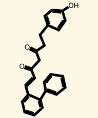 O=C(C=Cc1ccccc1-c1ccccc1)CC(=O)CCc1ccc(O)cc1